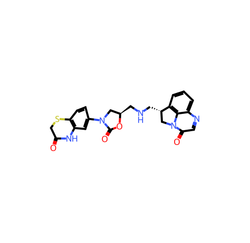 O=C1CSc2ccc(N3C[C@@H](CNC[C@H]4Cn5c(=O)cnc6cccc4c65)OC3=O)cc2N1